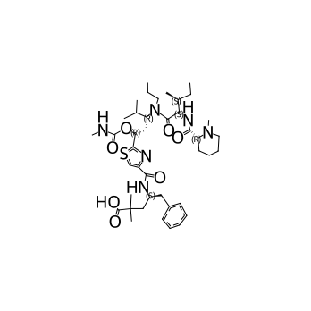 CCCN(C(=O)[C@@H](NC(=O)[C@H]1CCCCN1C)[C@@H](C)CC)[C@H](C[C@@H](OC(=O)NC)c1nc(C(=O)N[C@@H](Cc2ccccc2)CC(C)(C)C(=O)O)cs1)C(C)C